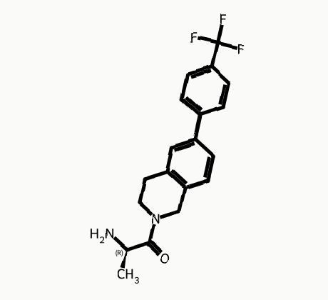 C[C@@H](N)C(=O)N1CCc2cc(-c3ccc(C(F)(F)F)cc3)ccc2C1